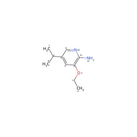 CCOc1cc(C(C)C)cnc1N